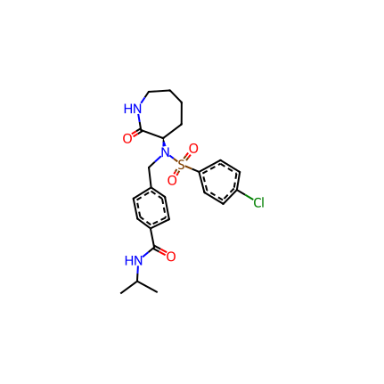 CC(C)NC(=O)c1ccc(CN([C@@H]2CCCCNC2=O)S(=O)(=O)c2ccc(Cl)cc2)cc1